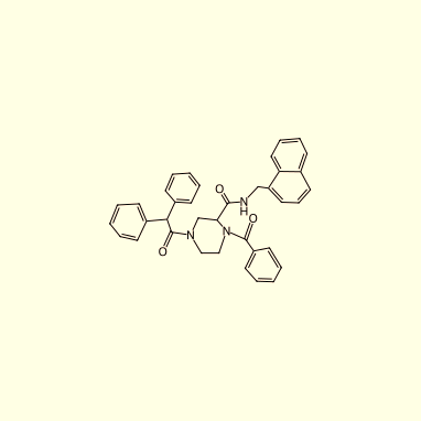 O=C(NCc1cccc2ccccc12)C1CN(C(=O)C(c2ccccc2)c2ccccc2)CCN1C(=O)c1ccccc1